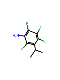 CC(C)c1c(F)c(N)c(F)c(F)c1Cl